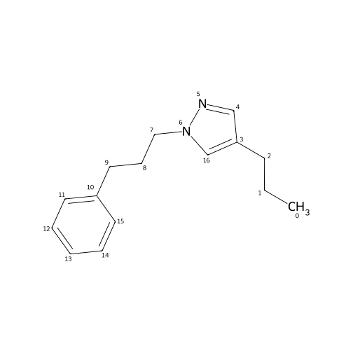 CCCc1cnn(CCCc2ccccc2)c1